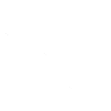 CCOC(=O)C(c1ccccc1)C(c1ccc([N+](=O)[O-])cc1)c1cccc2c1CCN(Cc1ccc([N+](=O)[O-])cc1)C2